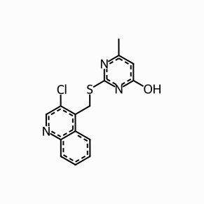 Cc1cc(O)nc(SCc2c(Cl)cnc3ccccc23)n1